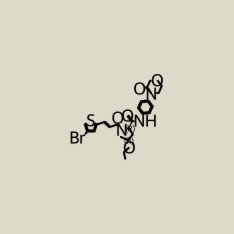 CCO[C@@H]1C[C@H](C(=O)Nc2ccc(N3CCOCC3=O)cc2)N(C(=O)C=Cc2cc(Br)cs2)C1